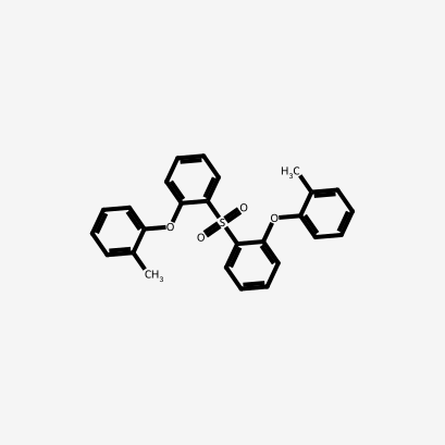 Cc1ccccc1Oc1ccccc1S(=O)(=O)c1ccccc1Oc1ccccc1C